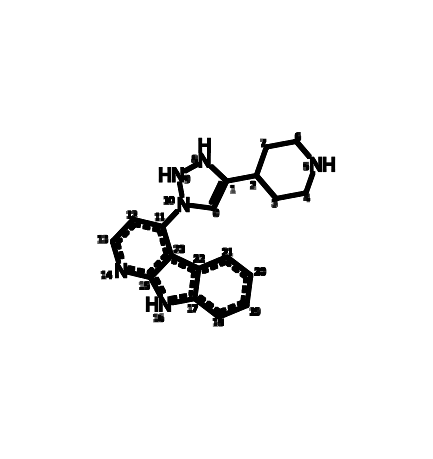 C1=C(C2CCNCC2)NNN1c1ccnc2[nH]c3ccccc3c12